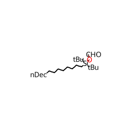 CCCCCCCCCCCCCCCCCC[Si](O[C]=O)(C(C)(C)C)C(C)(C)C